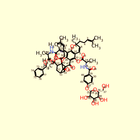 CC(C)=CCCC1(C)C=Cc2c(c(CC=C(C)C)c3c(c2OC(=O)C(C)NC(=O)c2ccc(O[C@@H]4O[C@H](CO)[C@@H](O)[C@@H](O)[C@H]4O)cc2)C(=O)C2=CC4CC5C(C)(C)OC(C/C=C(/C)C(=O)NC(C)C(=O)OCc6ccccc6)(C4=O)C25O3)O1